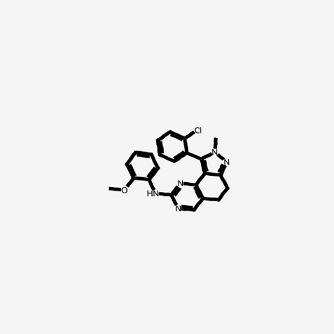 COc1ccccc1Nc1ncc2c(n1)-c1c(nn(C)c1-c1ccccc1Cl)CC2